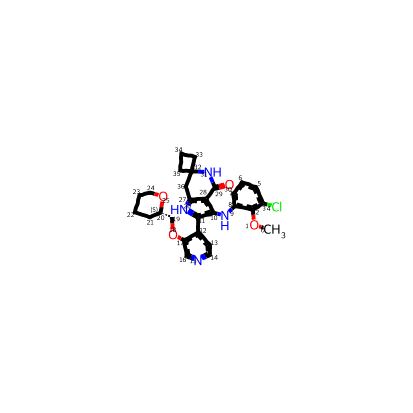 COc1c(Cl)cccc1Nc1c(-c2ccncc2OC[C@@H]2CCCCO2)[nH]c2c1C(=O)NC1(CCC1)C2